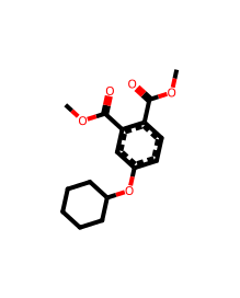 COC(=O)c1ccc(OC2CCCCC2)cc1C(=O)OC